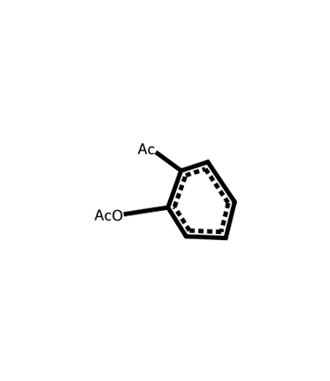 [CH2]C(=O)c1ccccc1OC(C)=O